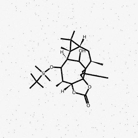 CC1=C[C@]23C(O)[C@@H](C(O[Si](C)(C)C(C)(C)C)[C@H](C)[C@H]4OC(=O)O[C@]42C1)[C@@]1(C)[C@@H](C[C@H]3C)C1(C)C